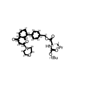 CC(C)C[C@H](NC(=O)OC(C)(C)C)C(=O)OCc1ccc(-c2cccc3c(=O)cc(N4CCOCC4)oc23)cc1